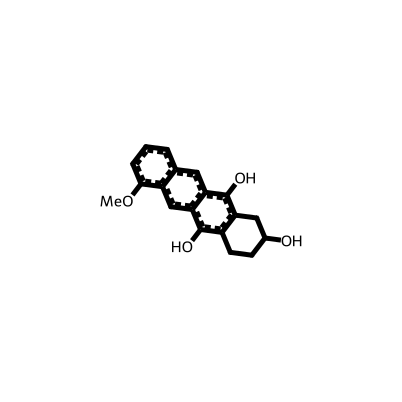 COc1cccc2cc3c(O)c4c(c(O)c3cc12)CCC(O)C4